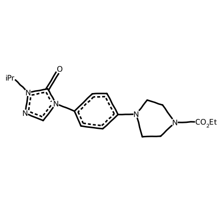 CCOC(=O)N1CCN(c2ccc(-n3cnn(C(C)C)c3=O)cc2)CC1